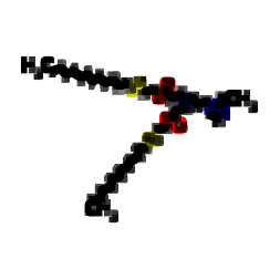 CCCCCCCCCCCCCSSCCOC(=O)CCN(CCCn1ccnc1CC)CCC(=O)OCCSSCCCCCCCCCCCCC